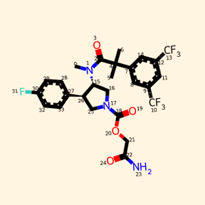 CN(C(=O)C(C)(C)c1cc(C(F)(F)F)cc(C(F)(F)F)c1)[C@@H]1CN(C(=O)OCC(N)=O)C[C@H]1c1ccc(F)cc1